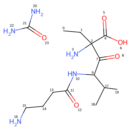 CCC(N)(C(=O)O)C(=O)C(NC(=O)CCCN)C(C)C.NC(N)=O